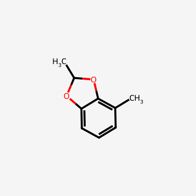 Cc1cccc2c1OC(C)O2